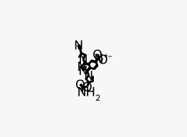 N#CC1CN(c2nnc(N3CCC(OC(N)=O)C3)c3ccc([N+](=O)[O-])cc23)C1